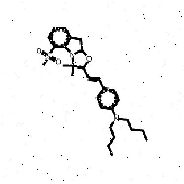 CCCCN(CCCC)c1ccc(C=CC2OC3Cc4cccc(S(C)(=O)=O)c4N3C2(C)C)cc1